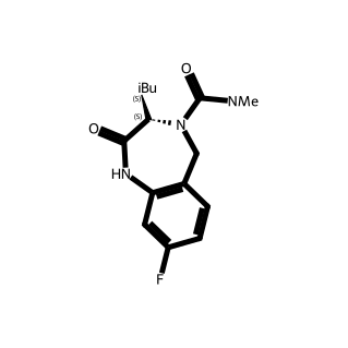 CC[C@H](C)[C@H]1C(=O)Nc2cc(F)ccc2CN1C(=O)NC